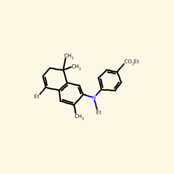 CCOC(=O)c1ccc(N(CC)c2cc3c(cc2C)C(CC)=CCC3(C)C)cc1